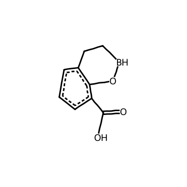 O=C(O)c1cccc2c1OBCC2